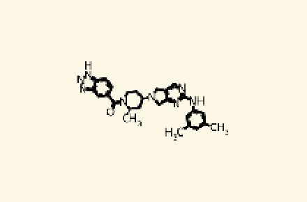 Cc1cc(C)cc(Nc2ncc3c(n2)CN([C@@H]2CCN(C(=O)c4ccc5[nH]nnc5c4)[C@@H](C)C2)C3)c1